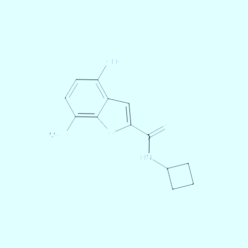 COc1ccc(C=O)c2cc(C(=O)NC3CCC3)oc12